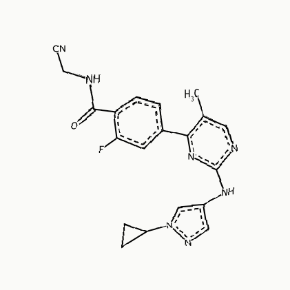 Cc1cnc(Nc2cnn(C3CC3)c2)nc1-c1ccc(C(=O)NCC#N)c(F)c1